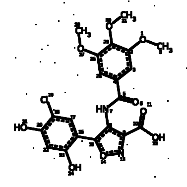 COc1cc(C(=O)Nc2c(C(=O)O)noc2-c2cc(Cl)c(O)cc2O)cc(OC)c1OC